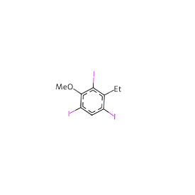 CCc1c(I)cc(I)c(OC)c1I